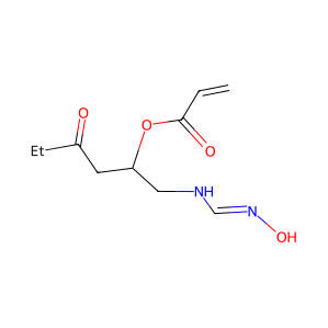 C=CC(=O)OC(CNC=NO)CC(=O)CC